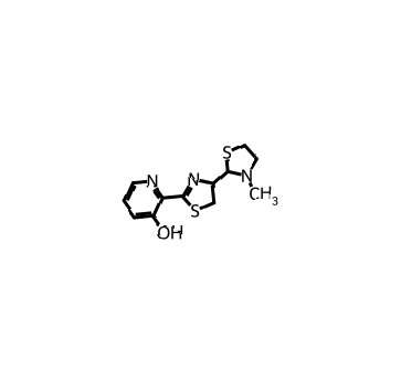 CN1CCSC1C1CSC(c2ncccc2O)=N1